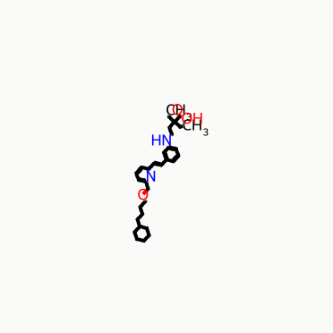 CCC(CC)(CCNc1cccc(C=Cc2cccc(COCCCCC3CCCCC3)n2)c1)C(=O)O